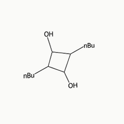 CCCCC1C(O)C(CCCC)C1O